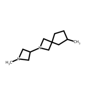 CC1CCC2(C1)CN(C1CN(C)C1)C2